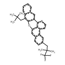 CC(C)(C)Cc1c2c(cc3ccccc13)-c1nccc3c1c(cc1ccc(CC(C)(C)C(F)(F)F)cc13)O2